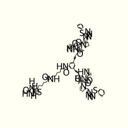 CN[C@@H](C)C(=O)N[C@H](C(=O)N1CCCC1Cn1nnnc1Sc1ccccc1)[C@@H](C)OCC#Cc1cc(C#CCO[C@H](C)[C@H](NC(=O)[C@@H](C)NC)C(=O)N2CCC[C@H]2Cn2nnnc2Sc2ccccc2)cc(NC(=O)CCCCCNC(=O)CCCCC2SC[C@@H]3NC(=O)N[C@H]23)c1